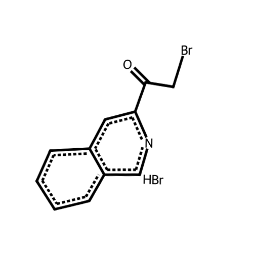 Br.O=C(CBr)c1cc2ccccc2cn1